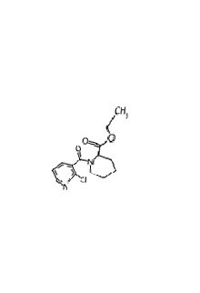 CCOC(=O)C1CCCCN1C(=O)c1cccnc1Cl